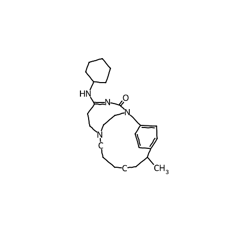 CC1CCCCCN2CC/C(NC3CCCCC3)=N\C(=O)N(CC2)c2ccc1cc2